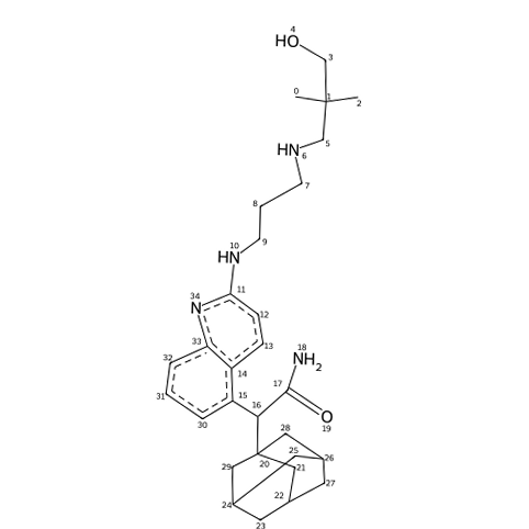 CC(C)(CO)CNCCCNc1ccc2c(C(C(N)=O)C34CC5CC(CC(C5)C3)C4)cccc2n1